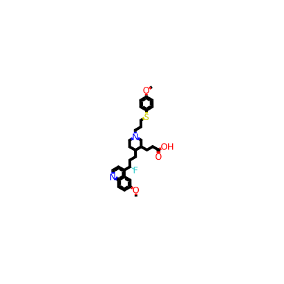 COc1ccc(SCCCN2CCC(CC[C@H](F)c3ccnc4ccc(OC)cc34)C(CCC(=O)O)C2)cc1